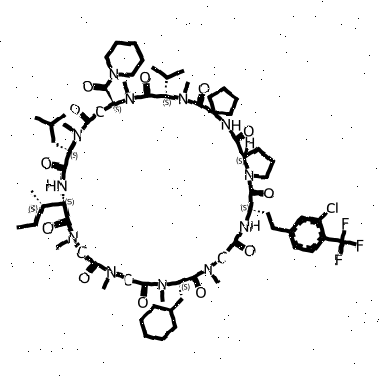 CC[C@H](C)[C@@H]1NC(=O)[C@H](CC(C)C)N(C)C(=O)C[C@@H](C(=O)N2CCCCC2)N(C)C(=O)[C@H](C(C)C)N(C)C(=O)C2(CCCC2)NC(=O)[C@@H]2CCCN2C(=O)[C@H](CCc2ccc(C(F)(F)F)c(Cl)c2)NC(=O)CN(C)C(=O)[C@H](CC2CCCCC2)N(C)C(=O)CN(C)C(=O)CN(C)C1=O